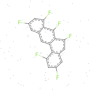 Fc1cc(F)c2c(F)c3c(F)cc4cc(F)cc(F)c4c3cc2c1